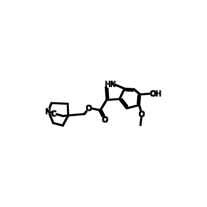 COc1cc2c(C(=O)OCC34CCN(CC3)CC4)c[nH]c2cc1O